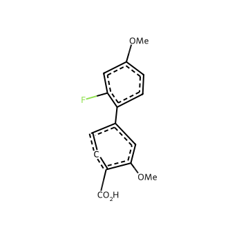 COc1ccc(-c2ccc(C(=O)O)c(OC)c2)c(F)c1